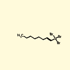 CCCCCC/C=C/[Si](Br)(Br)Br